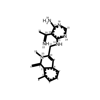 C=C1c2c(C)cccc2C=C(CNc2ncnc(N)c2C(C)=N)N1C